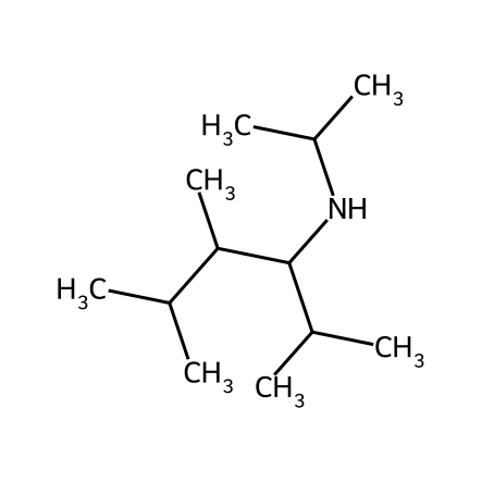 CC(C)NC(C(C)C)C(C)C(C)C